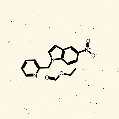 CCOC=O.O=[N+]([O-])c1ccc2c(ccn2Cc2ccccn2)c1